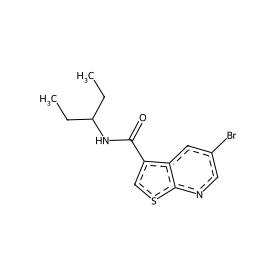 CCC(CC)NC(=O)c1csc2ncc(Br)cc12